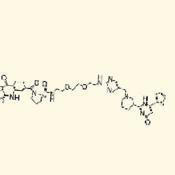 O=C(NCCOCCOCCNc1ncc(CN2CCCC(c3nc(=O)cc(-c4cccs4)[nH]3)C2)cn1)[C@@H]1CCCN1C(=O)c1ccc2c(=O)oc(=O)[nH]c2c1